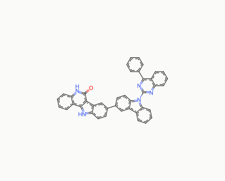 O=c1[nH]c2ccccc2c2[nH]c3ccc(-c4ccc5c(c4)c4ccccc4n5-c4nc(-c5ccccc5)c5ccccc5n4)cc3c12